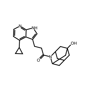 O=C(CCc1c[nH]c2nccc(C3CC3)c12)N1C2CC3CC1CC(O)(C3)C2